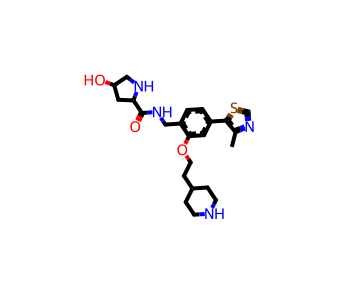 Cc1ncsc1-c1ccc(CNC(=O)C2CC(O)CN2)c(OCCC2CCNCC2)c1